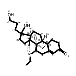 CCSC1CC2=CC(=O)CC[C@]2(C)[C@@H]2CC[C@@]3(C)[C@@H](CCC3(O)CCCO)[C@H]12